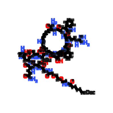 CCCCCCCCCCCCCCCC(=O)NCCOCCOCC(=O)NCC(=O)N[C@@H](CO)C(=O)N[C@@H](CCC(N)=O)C(=O)N[C@@H](Cc1c[nH]cn1)C(=O)N[C@@H](CO)C(=O)N[C@@H](CCCC)C(=O)N[C@H]1CC(=O)CNCCCC[C@@H](C(N)=O)NC(=O)[C@H](Cc2c[nH]c3ccccc23)NC(=O)[C@H](CCCNC(=N)N)NC(=O)[C@@H](Cc2ccccc2)NC(=O)[C@@H]2C[C@@H](O)CN2C1=O